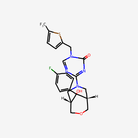 O=c1nc(N2C[C@H]3COC[C@@H](C2)[C@@]3(O)c2ccc(F)cc2)ncn1Cc1ccc(C(F)(F)F)s1